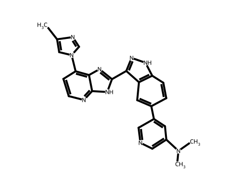 Cc1cn(-c2ccnc3[nH]c(-c4n[nH]c5ccc(-c6cncc(N(C)C)c6)cc45)nc23)cn1